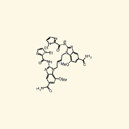 CCn1ccnc1C(=O)Nc1nc2cc(C(N)=O)cc(OC)c2n1C/C=C/Cn1c(NC(=O)c2nccn2CC)nc2cc(C(N)=O)cc(OC)c21